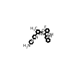 Cc1cc(C(=O)NC(c2cc3ccccc3[nH]2)c2cc(F)ccc2O)cc(-c2ccc(N3CCC(N)CC3)cn2)c1